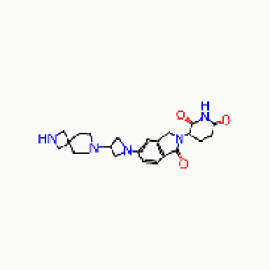 O=C1CCC(N2Cc3cc(N4CC(N5CCC6(CC5)CNC6)C4)ccc3C2=O)C(=O)N1